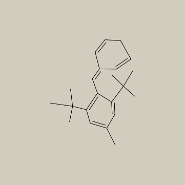 Cc1cc(C(C)(C)C)c(C=C2C=CCC=C2)c(C(C)(C)C)c1